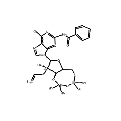 C=CC[C@@]1(O)C2O[Si](C(C)C)(C(C)C)O[Si](C(C)C)(C(C)C)OCC2OC1n1cnc2c(Cl)nc(NC(=O)c3ccccc3)nc21